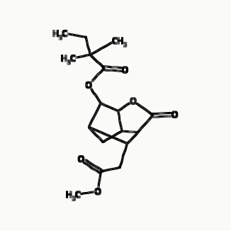 CCC(C)(C)C(=O)OC1C2CC3C1OC(=O)C3C2CC(=O)OC